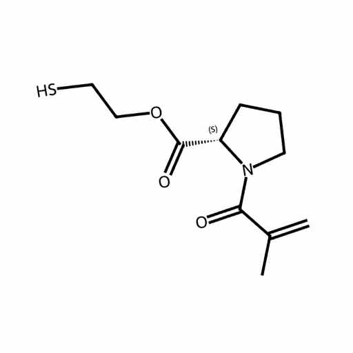 C=C(C)C(=O)N1CCC[C@H]1C(=O)OCCS